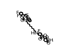 O=C(COc1c(-c2csc(N3CC4CCC(C3)O4)n2)ccc(F)c1F)NCCCCCCCCCCNc1cc2c(cc1F)C(=O)N(C1CCC(=O)NC1=O)C2=O